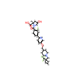 C[C@@]1(C(=O)O)C[C@@H](O)CN1C(=O)c1ccc(-c2ccc(OCC3CCN(CC4(C(F)(F)F)CCC4)CC3)cn2)cc1F